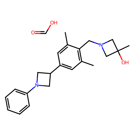 Cc1cc(C2CN(c3ccccc3)C2)cc(C)c1CN1CC(C)(O)C1.O=CO